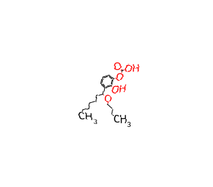 CCCCCCC(OCCCC)c1cccc(OC(=O)O)c1O